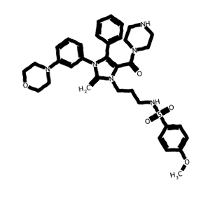 C=C1N(CCCNS(=O)(=O)c2ccc(OC)cc2)C(C(=O)N2CCNCC2)=C(c2ccccc2)N1c1cccc(N2CCOCC2)c1